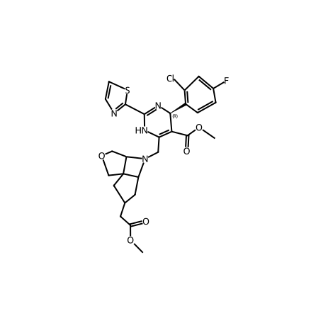 COC(=O)CC1CC2N(CC3=C(C(=O)OC)[C@H](c4ccc(F)cc4Cl)N=C(c4nccs4)N3)C3COCC32C1